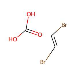 BrC=CBr.O=C(O)O